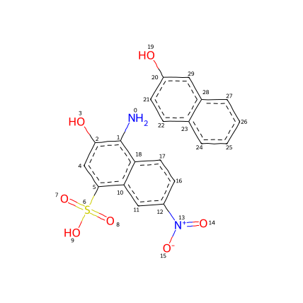 Nc1c(O)cc(S(=O)(=O)O)c2cc([N+](=O)[O-])ccc12.Oc1ccc2ccccc2c1